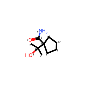 CC(C)(O)C1(C(N)=O)CCCC1